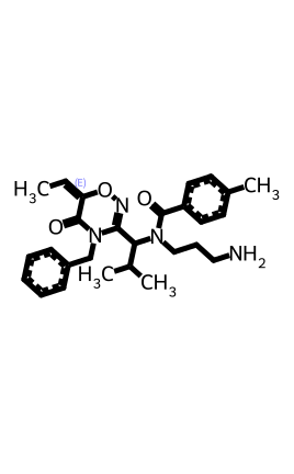 C/C=C1/ON=C(C(C(C)C)N(CCCN)C(=O)c2ccc(C)cc2)N(Cc2ccccc2)C1=O